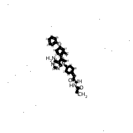 C=CC(=O)NNC(=O)C=C1CCC(n2cc(-c3ccc(Oc4ccccc4)cc3F)c3c(N)ncnc32)CC1